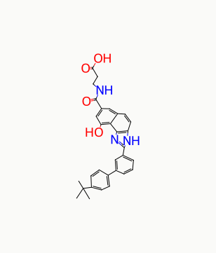 CC(C)(C)c1ccc(-c2cccc(-c3nc4c(ccc5cc(C(=O)NCCC(=O)O)cc(O)c54)[nH]3)c2)cc1